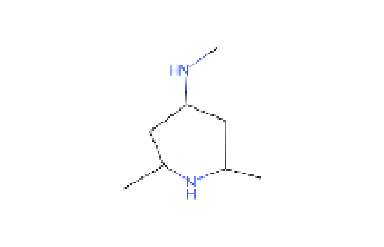 CNC1CC(C)NC(C)C1